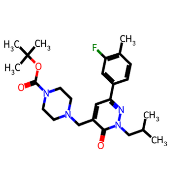 Cc1ccc(-c2cc(CN3CCN(C(=O)OC(C)(C)C)CC3)c(=O)n(CC(C)C)n2)cc1F